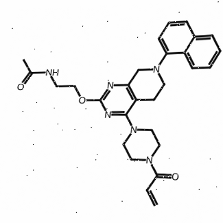 C=CC(=O)N1CCN(c2nc(OCCNC(C)=O)nc3c2CCN(c2cccc4ccccc24)C3)CC1